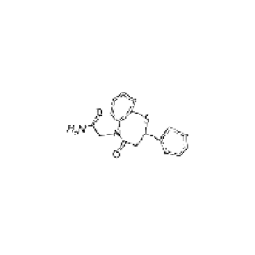 NC(=O)CN1C(=O)CC(c2ccccc2)Sc2ccccc21